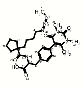 CN=[N+]=NCCCCC1(C(=O)NC(Cc2ccc(-c3c(C)n(C)c(=O)n(C)c3=O)cc2)C(=O)O)CCCC1